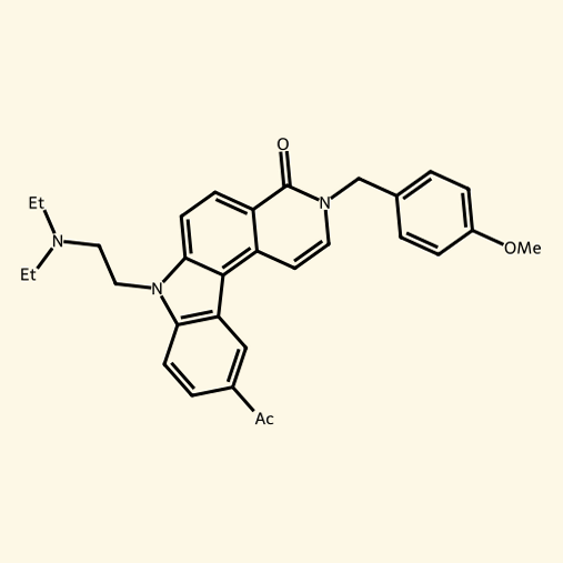 CCN(CC)CCn1c2ccc(C(C)=O)cc2c2c3ccn(Cc4ccc(OC)cc4)c(=O)c3ccc21